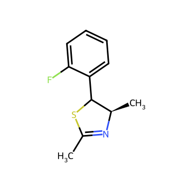 CC1=N[C@H](C)C(c2ccccc2F)S1